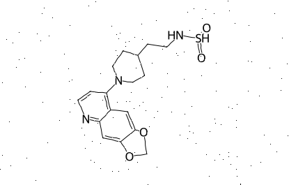 O=[SH](=O)NCCC1CCN(c2ccnc3cc4c(cc23)OCO4)CC1